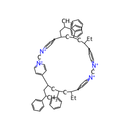 CCC1CC(c2ccccc2)CC(CC(C)c2ccccc2)c2cc[n+](cc2)C[n+]2ccc(cc2)C(CC(C)c2ccccc2)CC(c2ccccc2)CC(CC)c2cc[n+](cc2)C[n+]2ccc1cc2